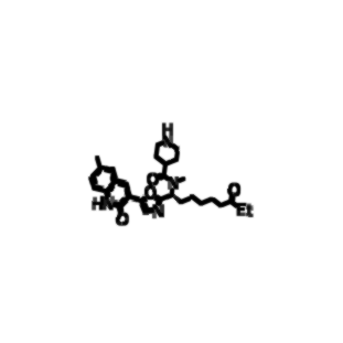 CCC(=O)CCCCC[C@@H](c1ncc(-c2cc3cc(C)ccc3[nH]c2=O)o1)N(C)C(=O)C1CCNCC1